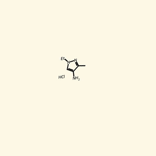 CCn1cc(N)c(C)n1.Cl